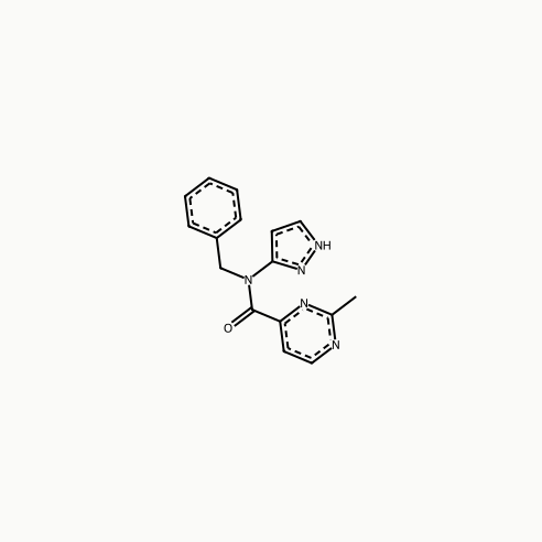 Cc1nccc(C(=O)N(Cc2ccccc2)c2cc[nH]n2)n1